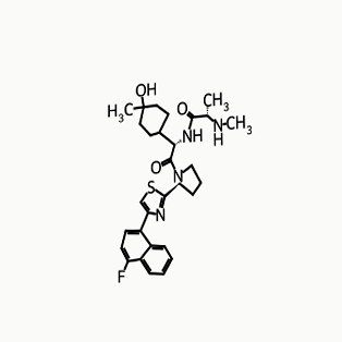 CN[C@@H](C)C(=O)N[C@H](C(=O)N1CCC[C@H]1c1nc(-c2ccc(F)c3ccccc23)cs1)C1CCC(C)(O)CC1